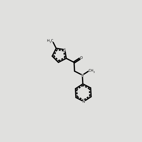 Cc1ccc(C(=O)CN(C)c2ccncc2)s1